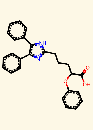 O=C(O)C(CCCc1nc(-c2ccccc2)c(-c2ccccc2)[nH]1)Oc1ccccc1